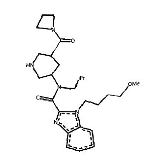 COCCCCn1c(C(=O)N(CC(C)C)C2CNCC(C(=O)N3CCC3)C2)nc2ccccc21